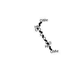 COCCCNC(=O)OCCOCCOCCOC(=O)NCCCOC